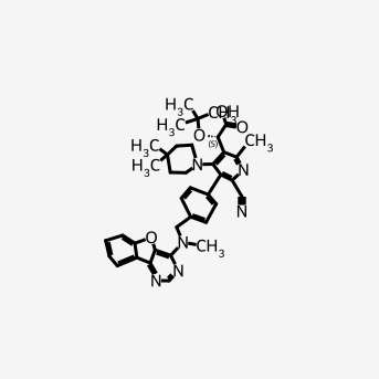 Cc1nc(C#N)c(-c2ccc(CN(C)c3ncnc4c3oc3ccccc34)cc2)c(N2CCC(C)(C)CC2)c1[C@H](OC(C)(C)C)C(=O)O